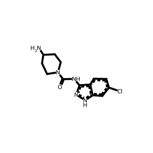 NC1CCN(C(=O)Nc2n[nH]c3cc(Cl)ccc23)CC1